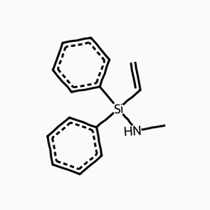 C=C[Si](NC)(c1ccccc1)c1ccccc1